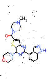 CN1CCN(C(=O)c2cc3nc(-c4cccc5[nH]ncc45)nc(N4CCOCC4)c3s2)CC1